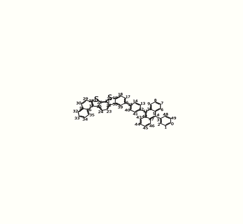 c1ccc(-c2c3ccccc3c(-c3ccc(-c4ccc5sc6c(ccc7c6sc6ccc8ccccc8c67)c5c4)cc3)c3ccccc23)cc1